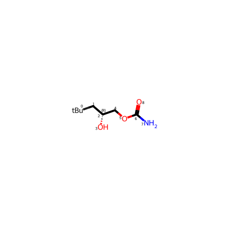 CC(C)(C)C[C@@H](O)COC(N)=O